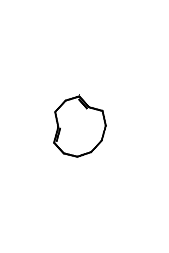 [C]1=C/CCCCCC/C=C/CC/1